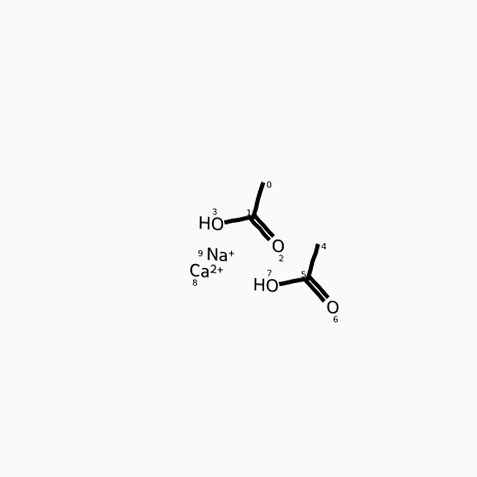 CC(=O)O.CC(=O)O.[Ca+2].[Na+]